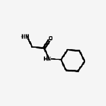 [NH]CC(=O)NC1CCCCC1